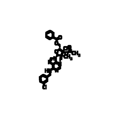 CC(=O)O[C@@]1(C)[C@@H](COC(=O)c2ccccc2)O[C@@H](n2cnc3c(NCc4cccc(Cl)c4)ncnc32)[C@]1(C)F